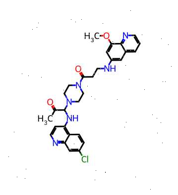 COc1cc(NCCC(=O)N2CCN(C(Nc3ccnc4cc(Cl)ccc34)C(C)=O)CC2)cc2cccnc12